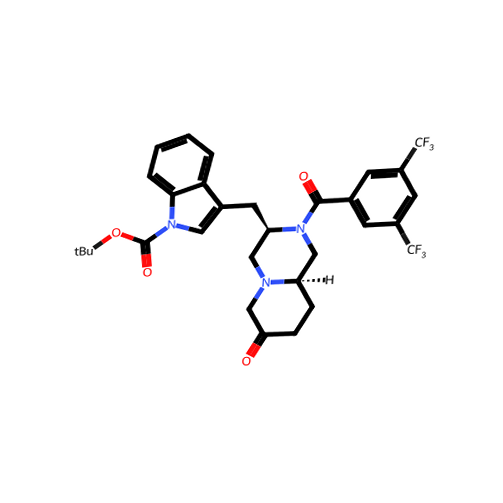 CC(C)(C)OC(=O)n1cc(C[C@@H]2CN3CC(=O)CC[C@@H]3CN2C(=O)c2cc(C(F)(F)F)cc(C(F)(F)F)c2)c2ccccc21